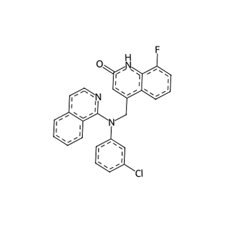 O=c1cc(CN(c2cccc(Cl)c2)c2nccc3ccccc23)c2cccc(F)c2[nH]1